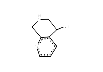 NC1CNCc2ncccc21